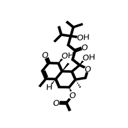 CC(=O)O[C@@H]1C[C@H]2C(C)=CC(=O)[C@@H](O)[C@]2(C)C2[C@](O)(CC(=O)CC(O)(C(C)C)C(C)C)OC[C@]21C